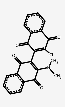 CN(C)C1=C(C2=C(Cl)C(=O)c3ccccc3C2=O)C(=O)c2ccccc2C1=O